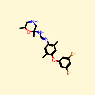 Cc1cc(Oc2cc(Br)cc(Br)c2)c(C)cc1N=CNC1(C)CNCC(C)O1